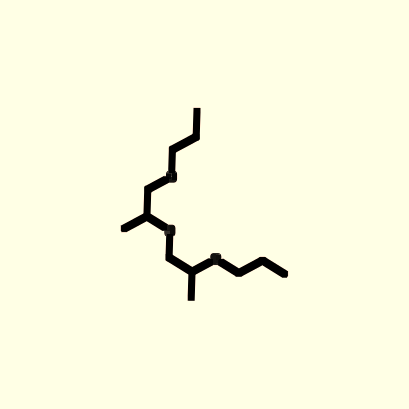 CCCOCC(C)OCC(C)OCCC